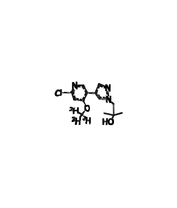 [2H]C([2H])([2H])Oc1cc(Cl)ncc1-c1cnn(CC(C)(C)O)c1